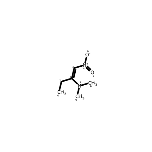 CCC(=C[N+](=O)[O-])N(C)C